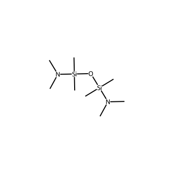 CN(C)[Si](C)(C)O[Si](C)(C)N(C)C